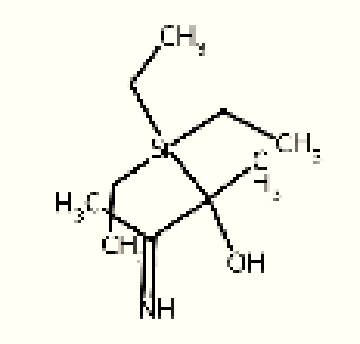 CC[Si](CC)(CC)C(C)(O)C(C)=N